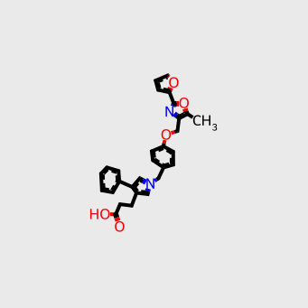 Cc1oc(-c2ccco2)nc1COc1ccc(Cn2cc(CCC(=O)O)c(-c3ccccc3)c2)cc1